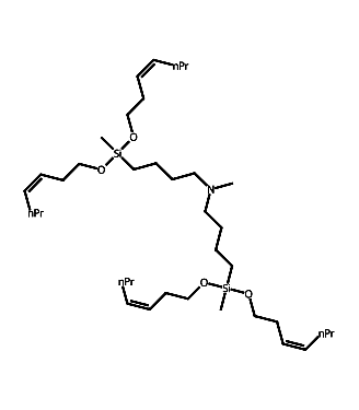 CCC/C=C\CCO[Si](C)(CCCCN(C)CCCC[Si](C)(OCC/C=C\CCC)OCC/C=C\CCC)OCC/C=C\CCC